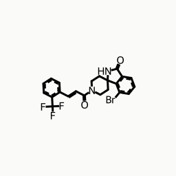 O=C1NC2(CCN(C(=O)C=Cc3ccccc3C(F)(F)F)CC2)c2c(Br)cccc21